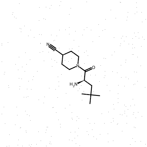 CC(C)(C)C[C@@H](N)C(=O)N1CCC(C#N)CC1